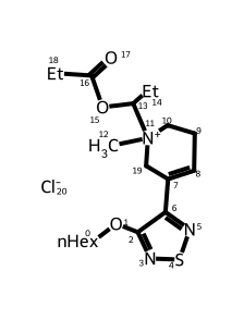 CCCCCCOc1nsnc1C1=CCC[N+](C)(C(CC)OC(=O)CC)C1.[Cl-]